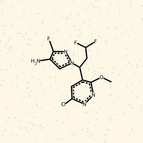 COc1nnc(Cl)cc1C(CC(F)F)n1cc(N)c(F)n1